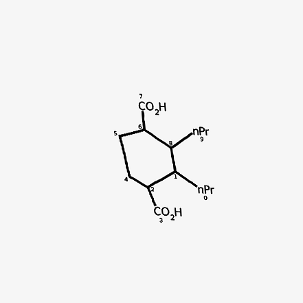 CCCC1C(C(=O)O)CCC(C(=O)O)C1CCC